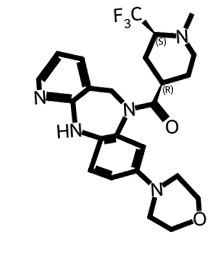 CN1CC[C@@H](C(=O)N2Cc3cccnc3Nc3ccc(N4CCOCC4)cc32)C[C@H]1C(F)(F)F